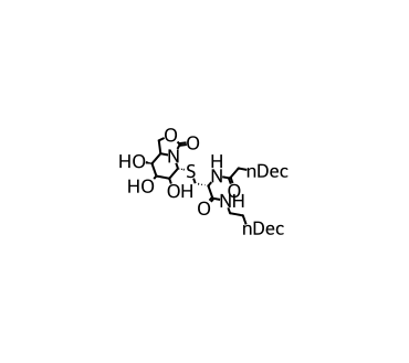 CCCCCCCCCCCCNC(=O)[C@H](CS[C@@H]1C(O)C(O)[C@@H](O)C2COC(=O)N21)NC(=O)CCCCCCCCCCC